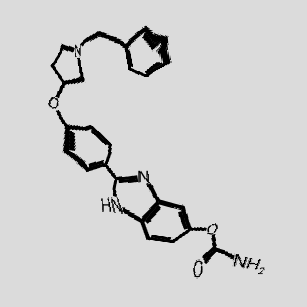 NC(=O)Oc1ccc2[nH]c(-c3ccc(OC4CCN(Cc5ccccc5)C4)cc3)nc2c1